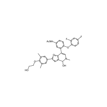 CC(=O)Nc1ccc(Oc2ccc(F)cc2F)c(C2=CN(C)C(O)c3cc(-c4cc(C)c(OCCO)c(C)c4)oc32)c1